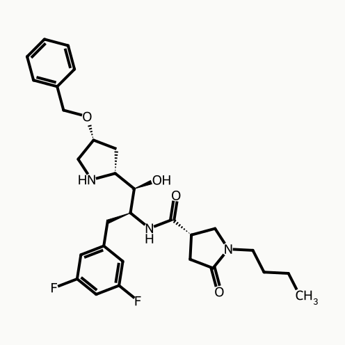 CCCCN1C[C@@H](C(=O)N[C@@H](Cc2cc(F)cc(F)c2)[C@H](O)[C@H]2C[C@@H](OCc3ccccc3)CN2)CC1=O